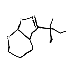 CC(C)(C)C1=NOC2OCCCC12